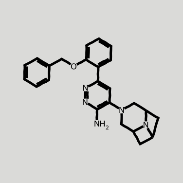 Nc1nnc(-c2ccccc2OCc2ccccc2)cc1N1CC2CC3CC(C1)N32